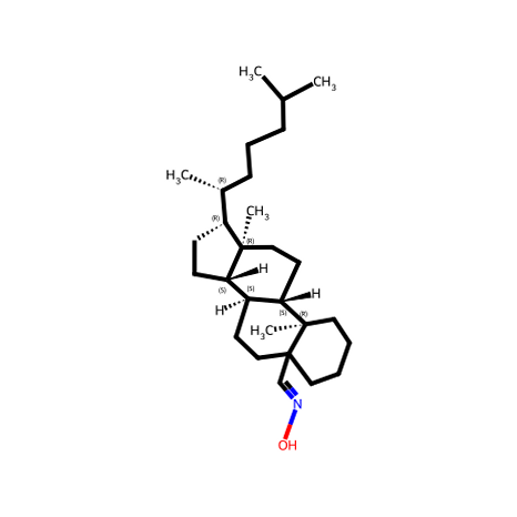 CC(C)CCC[C@@H](C)[C@H]1CC[C@H]2[C@@H]3CCC4(C=NO)CCCC[C@]4(C)[C@H]3CC[C@]12C